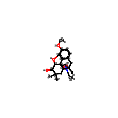 [2H]C1([2H])C[C@@]2(O)[C@H]3Cc4ccc(OC)c5c4[C@@]2(CCN3C)C(O5)C1=O